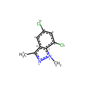 Cc1nn(C)c2c(Cl)cc(Cl)cc12